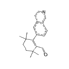 CC1(C)CCC(C)(C)C(c2ccc3cnccc3c2)=C1C=O